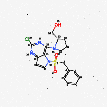 O=S(=O)(Cc1ccccc1)n1ccc2nc(Cl)nc(N3CCC[C@H]3CO)c21